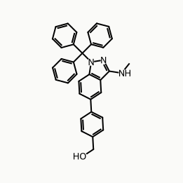 CNc1nn(C(c2ccccc2)(c2ccccc2)c2ccccc2)c2ccc(-c3ccc(CO)cc3)cc12